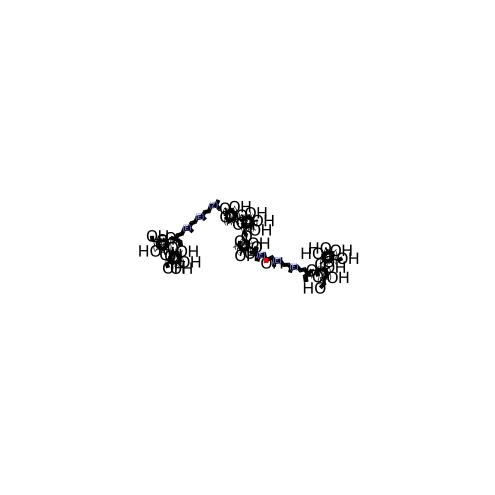 C=C[C@](C)(CC/C=C(\C)CC/C=C(\C)CC/C=C(/C)CO[C@@H]1O[C@@H](C)[C@H](O)[C@@H](O[C@@H]2O[C@H](CO[C@@H]3O[C@@H](C)[C@H](O)[C@@H](OC(=O)/C(C)=C/C(O)C/C(C)=C/CC/C(C)=C/CC[C@@](C)(C=C)O[C@@H]4O[C@H](CO)[C@@H](O)[C@H](O)[C@H]4O[C@@H]4O[C@H](CO)[C@@H](O)[C@H](O)[C@H]4O)[C@H]3O)[C@@H](O)[C@H](O)[C@H]2O)[C@H]1O)O[C@@H]1O[C@H](CO)[C@@H](O)[C@H](O)[C@H]1O[C@@H]1O[C@H](CO)[C@@H](O)[C@H](O)[C@H]1O